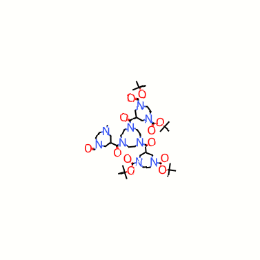 CN1CCN(C=O)CC(C(=O)N2CCN(C(=O)C3CN(C(=O)OC(C)(C)C)CCN(C(=O)OC(C)(C)C)C3)CCN(C(=O)C3CN(C(=O)OC(C)(C)C)CCN(C(=O)OC(C)(C)C)C3)CC2)C1